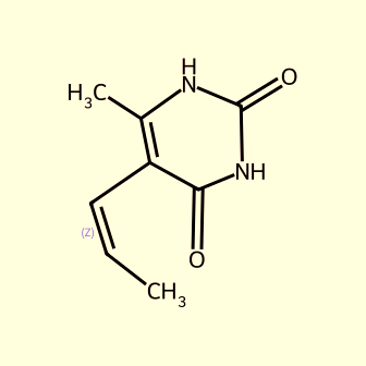 C/C=C\c1c(C)[nH]c(=O)[nH]c1=O